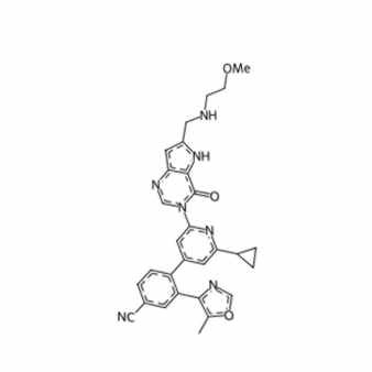 COCCNCc1cc2ncn(-c3cc(-c4ccc(C#N)cc4-c4ncoc4C)cc(C4CC4)n3)c(=O)c2[nH]1